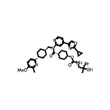 COc1ccc([C@H]2CC[C@H](CN(c3cc(-c4coc(C5CC5)n4)ccn3)C(=O)[C@H]3CC[C@H](OC(=O)NCC(C)(O)C(C)C)CC3)CC2)nc1C